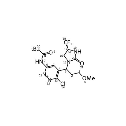 COCCC(c1cc(NC(=O)C(C)(C)C)nnc1Cl)N1C[C@@H](C(F)(F)F)NC1=O